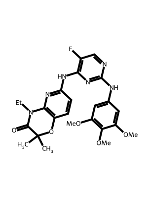 CCN1C(=O)C(C)(C)Oc2ccc(Nc3nc(Nc4cc(OC)c(OC)c(OC)c4)ncc3F)nc21